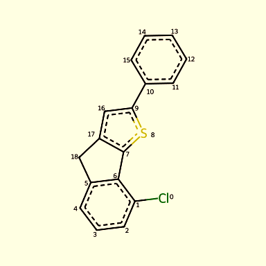 Clc1cccc2c1-c1sc(-c3ccccc3)cc1C2